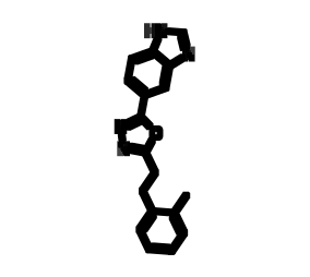 Cc1ccccc1CCc1nnc(-c2ccc3[nH]cnc3c2)o1